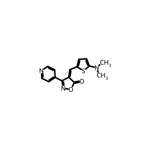 CN(C)c1ccc(/C=C2\C(=O)ON=C2c2ccncc2)s1